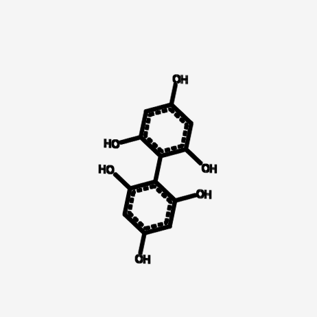 Oc1cc(O)c(-c2c(O)cc(O)cc2O)c(O)c1